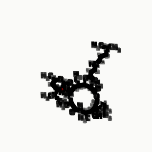 CC[C@H]1OC(=O)[C@H](C)[C@@H](OC(=O)CCNCCCN(C)C)[C@H](C)[C@@H](O[C@@H]2O[C@H](C)C[C@H](N(C)C)[C@H]2O)[C@](C)(OC)C[C@@H](C)C(=O)N[C@H](C)[C@@H](O)[C@]1(C)O